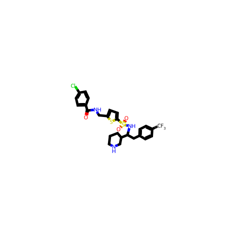 O=C(NCc1ccc(S(=O)(=O)NC(Cc2ccc(C(F)(F)F)cc2)C2CCCNC2)s1)c1ccc(Cl)cc1